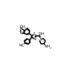 Cn1cnc2cc(-c3sc(C(O)N4CCC(N)CC4)nc3-c3ccc(C#N)cc3)ccc21